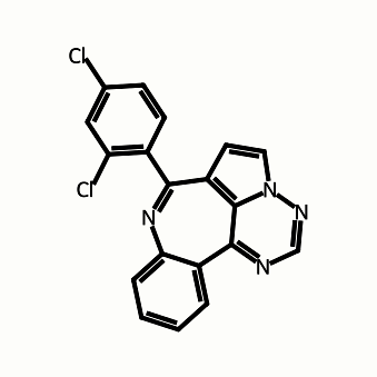 Clc1ccc(C2=Nc3ccccc3-c3ncnn4ccc2c34)c(Cl)c1